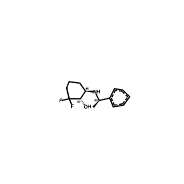 C[C@@H](N[C@@H]1CCCC(F)(F)[C@H]1O)c1ccccc1